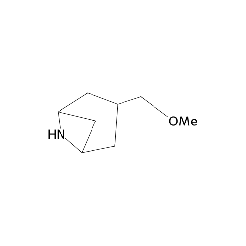 COCC1CC2CC(C1)N2